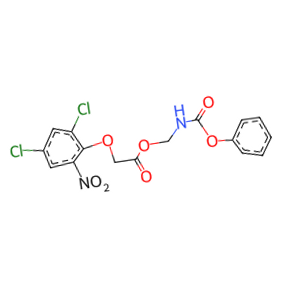 O=C(COc1c(Cl)cc(Cl)cc1[N+](=O)[O-])OCNC(=O)Oc1ccccc1